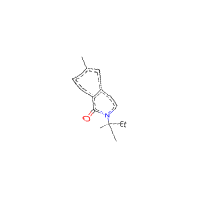 CCC(C)(C)n1ccc2cc(C)ccc2c1=O